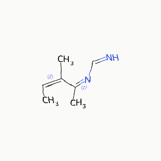 C/C=C(C)\C(C)=N/C=N